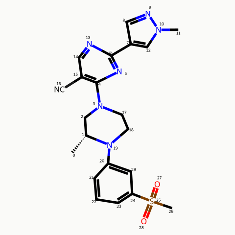 C[C@@H]1CN(c2nc(-c3cnn(C)c3)ncc2C#N)CCN1c1cccc(S(C)(=O)=O)c1